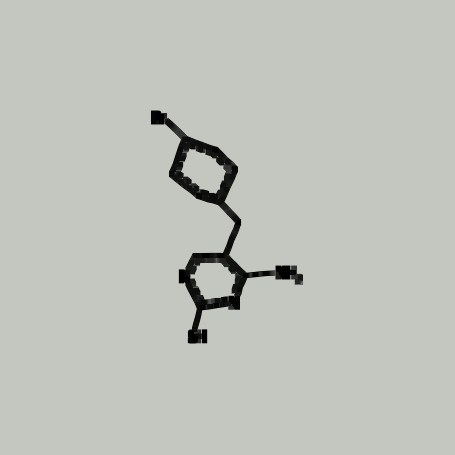 Nc1nc(S)ncc1Cc1ccc(Br)cc1